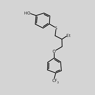 CCC(COc1ccc(C(F)(F)F)cc1)CSc1ccc(O)cc1